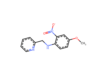 COc1ccc(NCc2ccccn2)c([N+](=O)[O-])c1